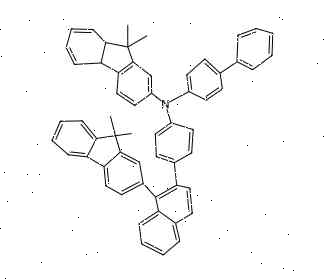 CC1(C)c2ccccc2-c2ccc(-c3c(-c4ccc(N(c5ccc(-c6ccccc6)cc5)c5ccc6c(c5)C(C)(C)C5C=CC=CC65)cc4)ccc4ccccc34)cc21